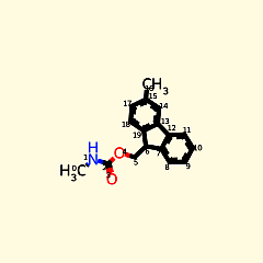 CNC(=O)OCC1c2ccccc2-c2cc(C)ccc21